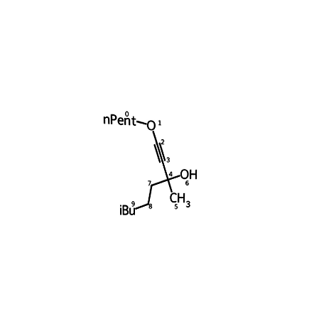 CCCCCOC#CC(C)(O)CCC(C)CC